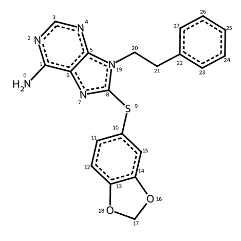 Nc1ncnc2c1nc(Sc1ccc3c(c1)OCO3)n2CCc1ccccc1